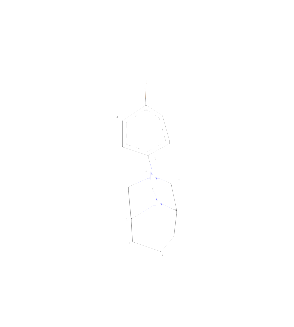 CN1C2CCCC1CN(c1ccc(Br)cc1)C2